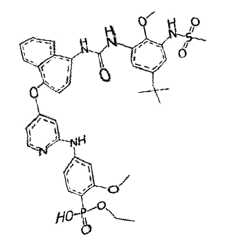 CCOP(=O)(O)c1ccc(Nc2cc(Oc3ccc(NC(=O)Nc4cc(C(C)(C)C)cc(NS(C)(=O)=O)c4OC)c4ccccc34)ccn2)cc1OC